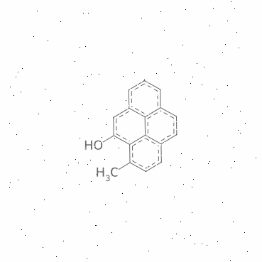 Cc1ccc2ccc3cccc4cc(O)c1c2c34